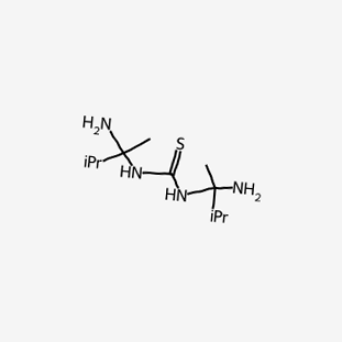 CC(C)C(C)(N)NC(=S)NC(C)(N)C(C)C